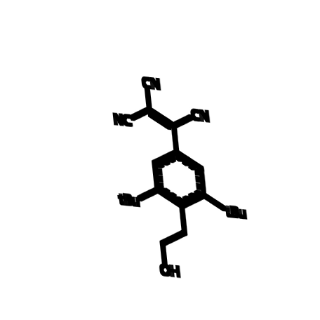 CC(C)(C)c1cc(C(C#N)=C(C#N)C#N)cc(C(C)(C)C)c1CCO